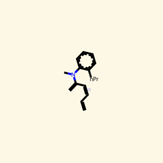 C=C/C=C\C(=C)N(C)c1ccccc1CCC